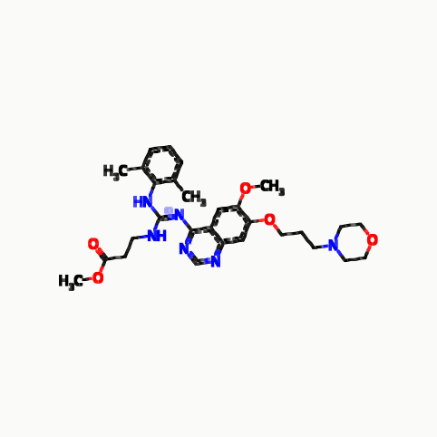 COC(=O)CCN/C(=N\c1ncnc2cc(OCCCN3CCOCC3)c(OC)cc12)Nc1c(C)cccc1C